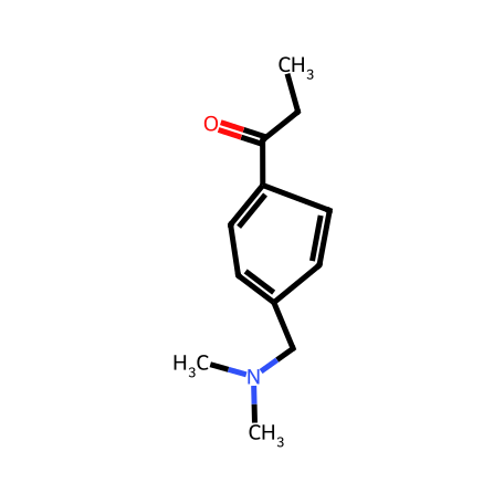 CCC(=O)c1ccc(CN(C)C)cc1